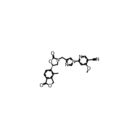 COc1cc(-n2cnc(CN3C[C@@H](c4ccc5c(c4C)COC5=O)OC3=O)c2)ncc1C#N